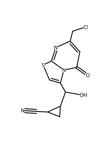 N#CC1CC1C(O)c1csc2nc(CCl)cc(=O)n12